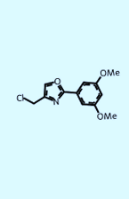 COc1cc(OC)cc(-c2nc(CCl)co2)c1